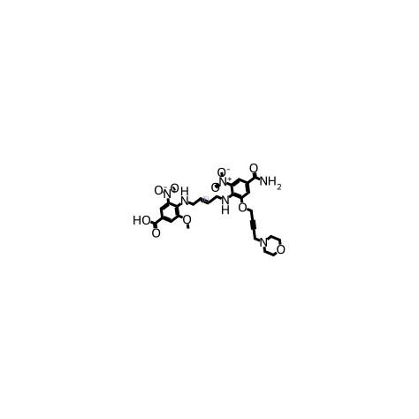 COc1cc(C(=O)O)cc([N+](=O)[O-])c1NC/C=C/CNc1c(OCC#CCN2CCOCC2)cc(C(N)=O)cc1[N+](=O)[O-]